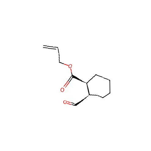 C=CCOC(=O)[C@H]1CCCC[C@H]1C=O